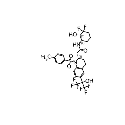 Cc1ccc(S(=O)(=O)N2c3ccc(C(O)(C(F)(F)F)C(F)(F)F)cc3CC[C@H]2CC(=O)N[C@@H]2CCCC(F)(F)[C@H]2O)cc1